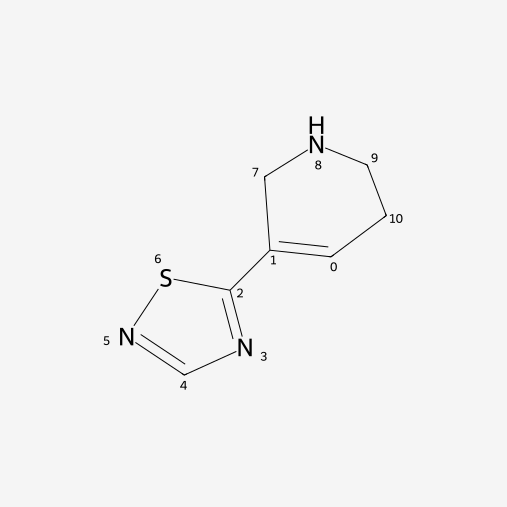 C1=C(c2ncns2)CNCC1